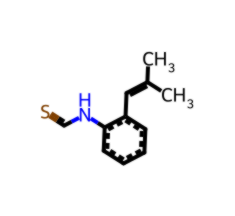 CC(C)=Cc1ccccc1NC=S